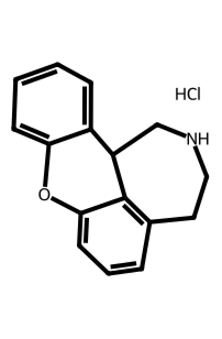 Cl.c1ccc2c(c1)Oc1cccc3c1C2CNCC3